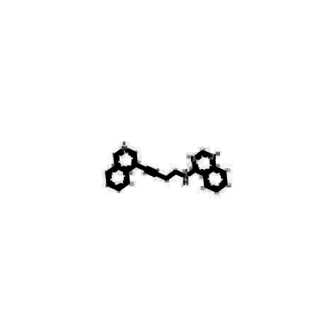 C(#Cc1cncc2ccccc12)CCNc1ncnc2ccccc12